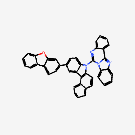 c1ccc2c(c1)ccc1c2c2cc(-c3ccc4c(c3)oc3ccccc34)ccc2n1-c1nc2ccccc2c2nc3ccccc3n12